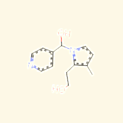 Cc1ccn(C(O)c2ccncc2)c1CCO